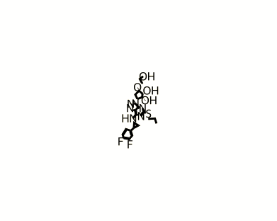 CCCSc1nc(N[C@H]2CC2c2ccc(F)c(F)c2)c2nnn(C3C[C@H](OCCO)C(O)[C@@H]3O)c2n1